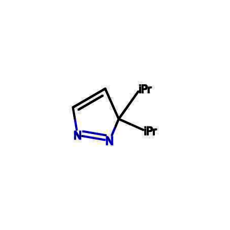 CC(C)C1(C(C)C)C=CN=N1